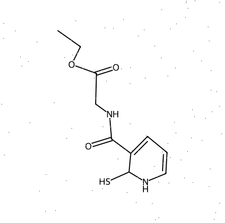 CCOC(=O)CNC(=O)C1=CC=CNC1S